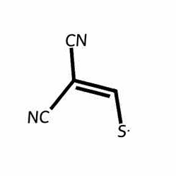 N#CC(C#N)=C[S]